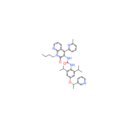 CCCCn1c(=O)c(NC(=O)Nc2c(C(C)C)cc(OC(C)c3cccnc3)cc2C(C)C)c(-c2cccc(C)n2)c2cccnc21